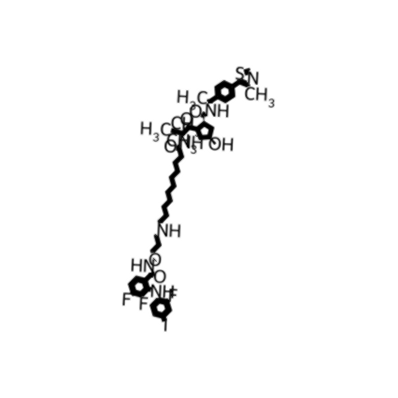 Cc1ncsc1-c1ccc([C@H](C)NC(=O)[C@@H]2C[C@@H](O)CC2C(=O)[C@@H](NC(=O)CCCCCCCCCCNCCCONC(=O)c2ccc(F)c(F)c2Nc2ccc(I)cc2F)C(C)(C)C)cc1